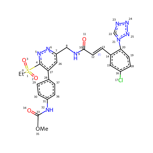 CCS(=O)(=O)c1nnc(CNC(=O)/C=C/c2cc(Cl)ccc2-n2cnnn2)cc1-c1ccc(NC(=O)OC)cc1